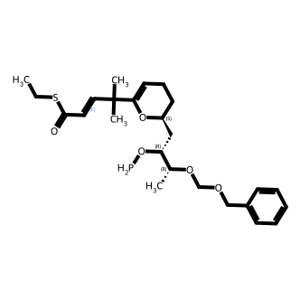 CCSC(=O)/C=C/C(C)(C)C1=CCC[C@@H](C[C@@H](OP)[C@@H](C)OCOCc2ccccc2)O1